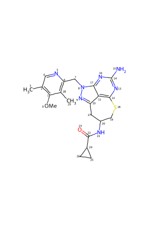 COc1c(C)cnc(Cn2nc3c4c(nc(N)nc42)SCC(NC(=O)C2CC2)C3)c1C